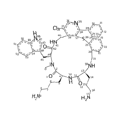 CN1C(=O)[C@H](CCCCN)NC(=O)[C@H](CCCN)NCc2ccccc2Sc2c(-c3ccccc3)ncc(Cl)c2CNC(=O)[C@@H]1Cc1c[nH]c2ccccc12